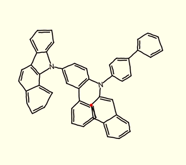 c1ccc(-c2ccc(N(c3ccc4ccccc4c3)c3ccc(-n4c5ccccc5c5ccc6ccccc6c54)cc3-c3ccccc3)cc2)cc1